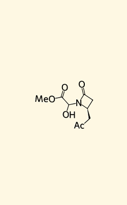 COC(=O)C(O)N1C(=O)C[C@H]1CC(C)=O